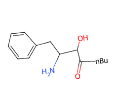 CCCCC(=O)C(O)C(N)Cc1ccccc1